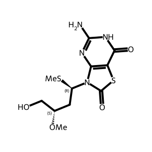 CO[C@H](CO)C[C@@H](SC)n1c(=O)sc2c(=O)[nH]c(N)nc21